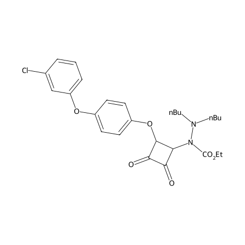 CCCCN(CCCC)N(C(=O)OCC)C1C(=O)C(=O)C1Oc1ccc(Oc2cccc(Cl)c2)cc1